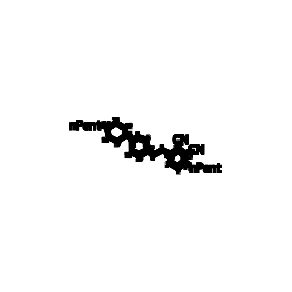 CCCCCc1ccc(CCc2ccc([C@H]3CC[C@H](CCCCC)CC3)cc2)c(C#N)c1C#N